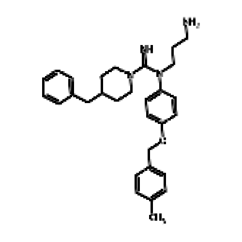 Cc1ccc(COc2ccc(N(CCCN)C(=N)N3CCC(Cc4ccccc4)CC3)cc2)cc1